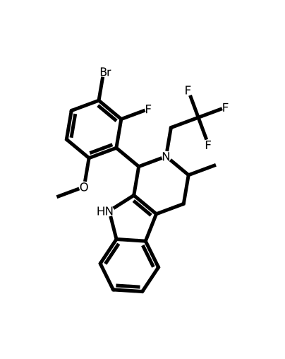 COc1ccc(Br)c(F)c1C1c2[nH]c3ccccc3c2CC(C)N1CC(F)(F)F